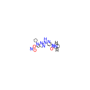 CN(C)C(=O)Oc1cc2cnc(Nc3ccc(N4C[C@@H]5CC[C@H](CC4=O)N5)cn3)nc2n1C1CCCC1